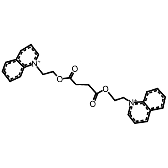 O=C(CCC(=O)OCC[n+]1cccc2ccccc21)OCC[n+]1cccc2ccccc21